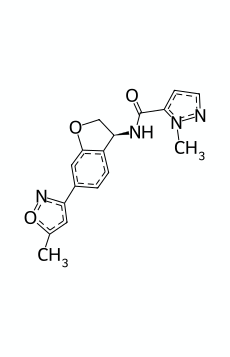 Cc1cc(-c2ccc3c(c2)OC[C@H]3NC(=O)c2ccnn2C)no1